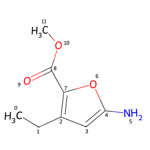 CCc1cc(N)oc1C(=O)OC